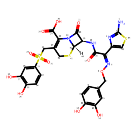 Nc1nc(/C(=N/OCc2ccc(O)c(O)c2)C(=O)N[C@@H]2C(=O)N3C(C(=O)O)=C(CS(=O)(=O)c4ccc(O)c(O)c4)CS[C@H]23)cs1